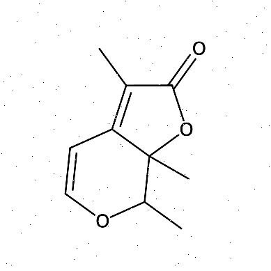 CC1=C2C=COC(C)C2(C)OC1=O